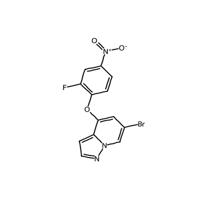 O=[N+]([O-])c1ccc(Oc2cc(Br)cn3nccc23)c(F)c1